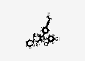 CCc1c(C(=O)NN2CCCCC2)nn(-c2ccc(Cl)cc2Cl)c1-c1ccc(C#CCCF)cc1